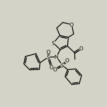 CC(=O)c1c(N(S(=O)(=O)c2ccccc2)S(=O)(=O)c2ccccc2)sc2c1COCC2